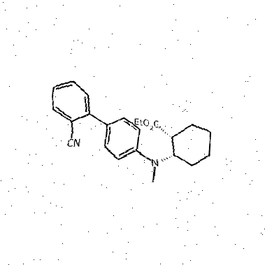 CCOC(=O)[C@@H]1CCCC[C@@H]1N(C)c1ccc(-c2ccccc2C#N)cc1